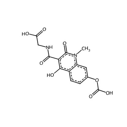 Cn1c(=O)c(C(=O)NCC(=O)O)c(O)c2ccc(OC(=O)O)cc21